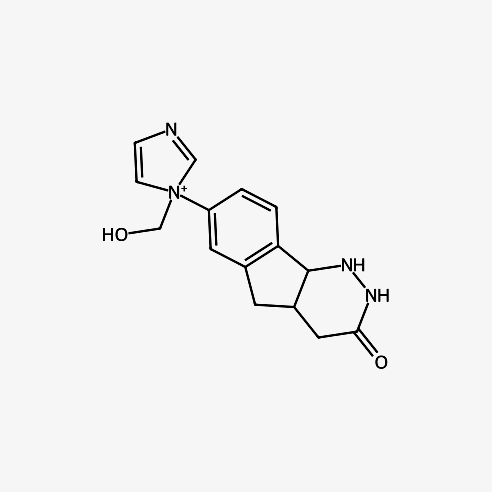 O=C1CC2Cc3cc([N+]4(CO)C=CN=C4)ccc3C2NN1